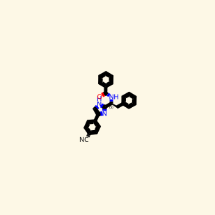 N#Cc1ccc(-c2c[nH]c([C@H](Cc3ccccc3)NC(=O)c3ccccc3)n2)cc1